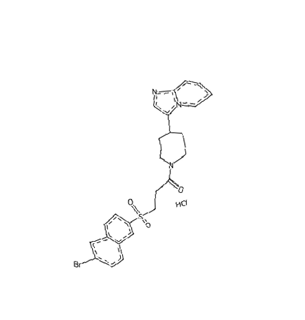 Cl.O=C(CCS(=O)(=O)c1ccc2cc(Br)ccc2c1)N1CCC(c2cnc3ccccn23)CC1